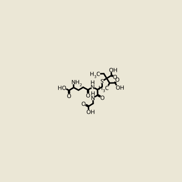 CCC(SCC(NC(=O)CCC(N)C(=O)O)C(=O)NCC(=O)O)(C(=O)O)C(C)C(=O)O